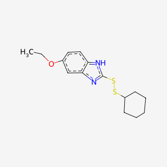 CCOc1ccc2[nH]c(SSC3CCCCC3)nc2c1